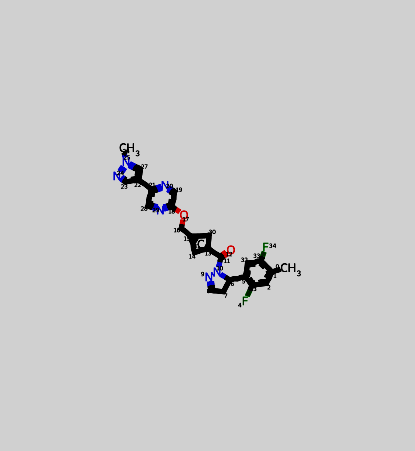 Cc1cc(F)c(C2CC=NN2C(=O)C23CC(COc4cnc(-c5cnn(C)c5)cn4)(C2)C3)cc1F